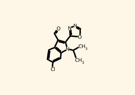 CC(C)n1c(-c2nnco2)c(C=O)c2ccc(Cl)cc21